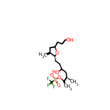 C=C(OS(=O)(=O)C(F)(F)F)[C@H](C)CC(O)CC[C@@H]1OC(CCCO)CC1=C